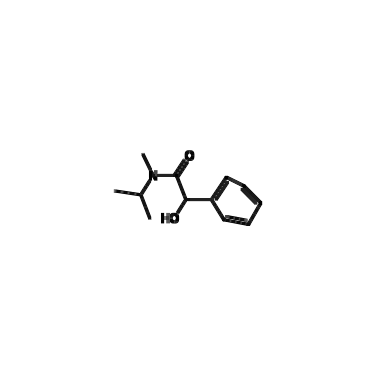 CC(C)N(C)C(=O)C(O)c1ccccc1